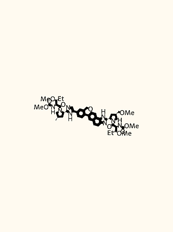 CC[C@@H](OC)[C@H](NC(=O)OC)C(=O)N1C[C@@H](C)C[C@H]1c1ncc(-c2ccc3c(c2)COc2cc4c(ccc5nc([C@@H]6C[C@H](COC)CN6C(=O)[C@@H](NC(=O)OC)[C@@H](CC)OC)[nH]c54)cc2-3)[nH]1